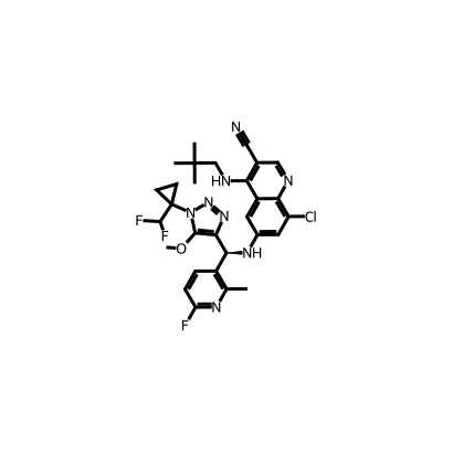 COc1c([C@@H](Nc2cc(Cl)c3ncc(C#N)c(NCC(C)(C)C)c3c2)c2ccc(F)nc2C)nnn1C1(C(F)F)CC1